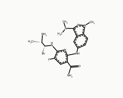 CC(C)[C@@H](Nc1nc(Nc2ccc3c(c2)c(N(C)C)nn3C)c(C(N)=O)cc1F)[C@H](C)N